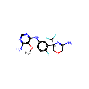 COc1c(N)ncnc1Nc1ccc(F)c([C@]2(C(F)F)COCC(N)=N2)c1